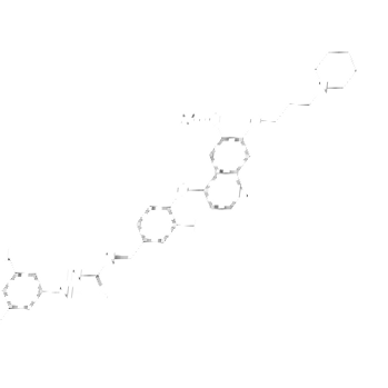 COc1cc2c(Oc3ccc(/C=N/C(=S)NNc4cc(Cl)cc(Cl)c4)cc3F)ccnc2cc1OCCCN1CCCCC1